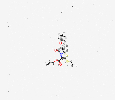 C=CCOC(=O)C1=C(SCCC)S[C@@H]2[C@@H]([C@@H](C)O[Si](C)(C)C(C)(C)C)C(=O)N12